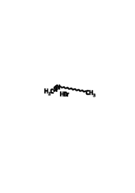 Br.CCCCCCCCCCCCCCCCN1C=CN(CC)C1